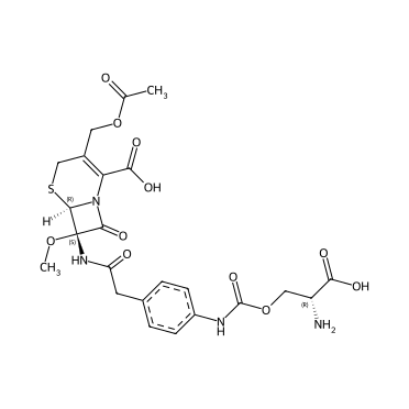 CO[C@@]1(NC(=O)Cc2ccc(NC(=O)OC[C@@H](N)C(=O)O)cc2)C(=O)N2C(C(=O)O)=C(COC(C)=O)CS[C@@H]21